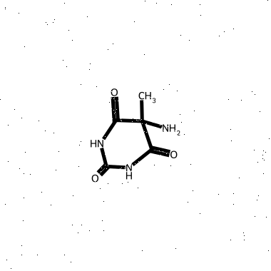 CC1(N)C(=O)NC(=O)NC1=O